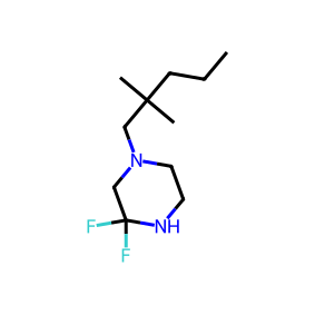 CCCC(C)(C)CN1CCNC(F)(F)C1